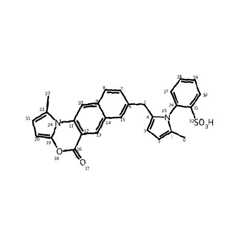 Cc1ccc(Cc2ccc3cc4c(cc3c2)c(=O)oc2ccc(C)n24)n1-c1ccccc1S(=O)(=O)O